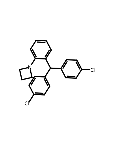 Clc1ccc(C(c2ccc(Cl)cc2)c2ccccc2N2CCC2)cc1